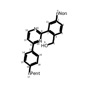 CCCCCCCCCc1ccc(CO)c(-c2nccc(-c3ccc(CCCCC)cc3)n2)c1